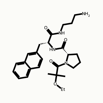 CCOC(C)(C)C(=O)N1CCC[C@H]1C(=O)N[C@H](Cc1ccc2ccccc2c1)C(=O)NCCCN